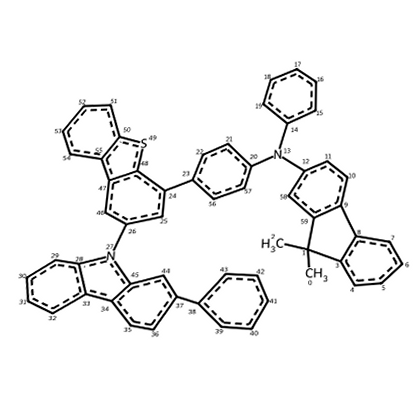 CC1(C)c2ccccc2-c2ccc(N(c3ccccc3)c3ccc(-c4cc(-n5c6ccccc6c6ccc(-c7ccccc7)cc65)cc5c4sc4ccccc45)cc3)cc21